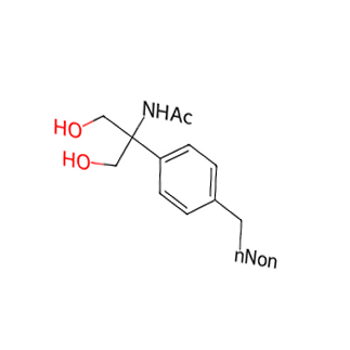 CCCCCCCCCCc1ccc(C(CO)(CO)NC(C)=O)cc1